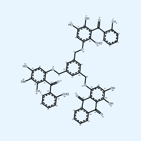 Cc1ccccc1C(=O)c1c(O)c(O)cc(OCc2cc(COc3cc(O)c(N=O)c(C)c3C(=O)c3ccccc3C=O)cc(COc3cc(O)c(O)c4c3C(=O)c3ccccc3C4=O)c2)c1C=O